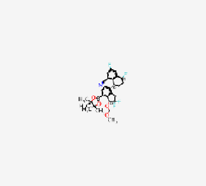 COCO[C@H]1c2c(B3OC(C)(C)C(C)(C)O3)ccc([C@H]3CC[C@H](F)c4cc(F)cc(C#N)c43)c2CC1(F)F